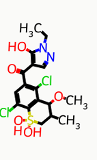 CCn1ncc(C(=O)c2cc(Cl)c3c(c2Cl)C(OC)C(C)CS3(O)O)c1O